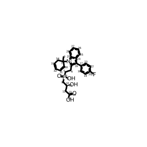 CC1(n2c(CCP(=O)(O)C[C@@H](O)CC(=O)O)c(-c3ccc(F)cc3)c3ccccc32)C=CC=CC1